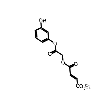 CCOC(=O)C=CC(=O)OCC(=O)Oc1cccc(O)c1